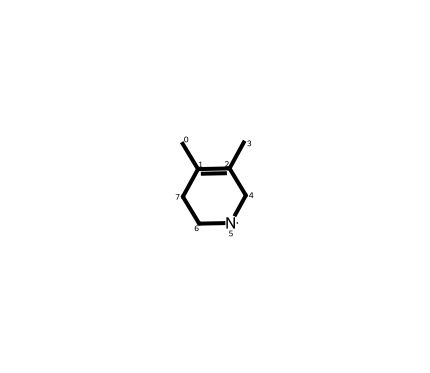 CC1=C(C)C[N]CC1